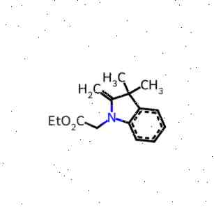 C=C1N(CC(=O)OCC)c2ccccc2C1(C)C